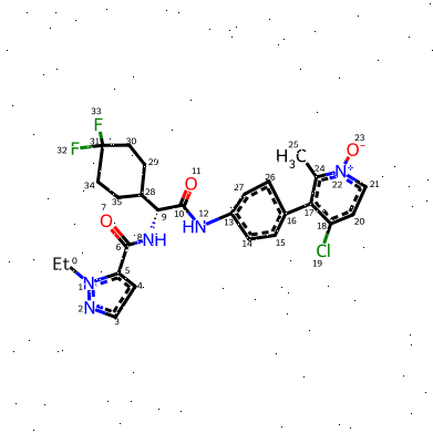 CCn1nccc1C(=O)N[C@@H](C(=O)Nc1ccc(-c2c(Cl)cc[n+]([O-])c2C)cc1)C1CCC(F)(F)CC1